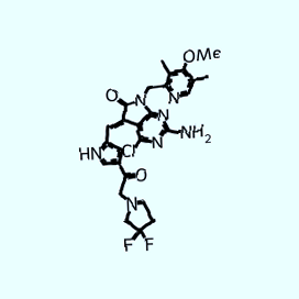 COc1c(C)cnc(CN2C(=O)/C(=C/c3cc(C(=O)CN4CCC(F)(F)C4)c[nH]3)c3c(Cl)nc(N)nc32)c1C